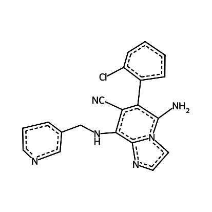 N#Cc1c(-c2ccccc2Cl)c(N)n2ccnc2c1NCc1cccnc1